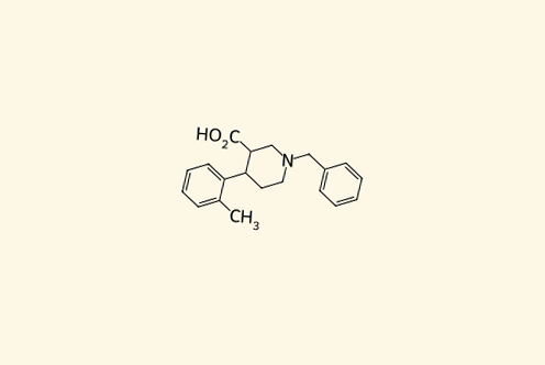 Cc1ccccc1C1CCN(Cc2ccccc2)CC1C(=O)O